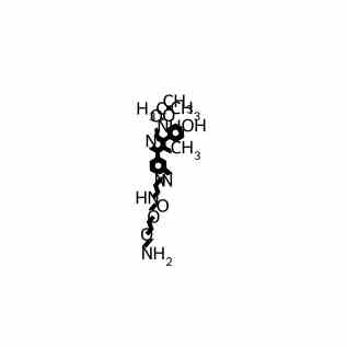 CCc1c(-c2ccc3c(cnn3CCNC(=O)COCCOCCN)c2)cnc(CNC(=O)OC(C)(C)C)c1-c1ccc(O)cc1